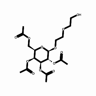 CC(=O)OC[C@H]1O[C@@H](OCCOCCO)[C@H](OC(C)=O)[C@@H](OC(C)=O)[C@H]1OC(C)=O